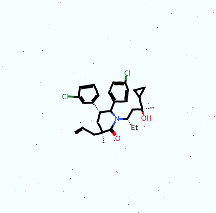 C=CC[C@@]1(C)C[C@H](c2cccc(Cl)c2)C(c2ccc(Cl)cc2)N([C@@H](CC)C[C@](C)(O)C2CC2)C1=O